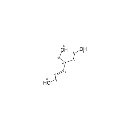 OCC=CC(CO)CCO